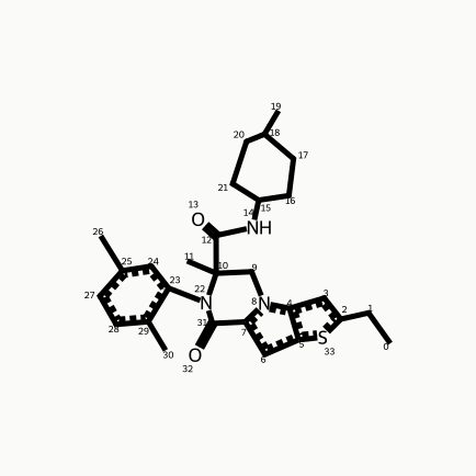 CCc1cc2c(cc3n2CC(C)(C(=O)NC2CCC(C)CC2)N(c2cc(C)ccc2C)C3=O)s1